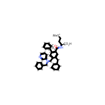 CSCC[C@H](NC(=O)c1cc(Cc2ccccc2)c(CN(Cc2ccccc2)c2cccnc2)cc1-c1ccccc1C)C(=O)O